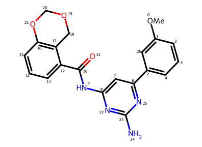 COc1cccc(-c2cc(NC(=O)c3cccc4c3COCO4)nc(N)n2)c1